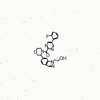 O=C(c1ncc(-c2ccccc2F)cn1)N1CCOCC1c1ccc2cnn(CCO)c2c1